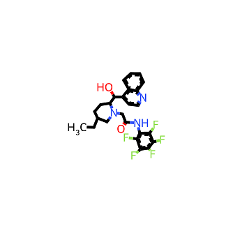 CCC1CCC(C(O)c2ccnc3ccccc23)N(CC(=O)Nc2c(F)c(F)c(F)c(F)c2F)C1